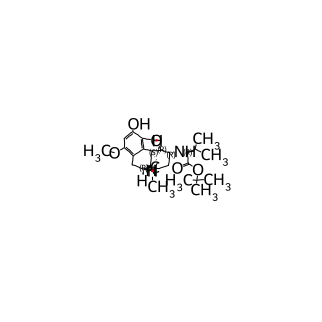 COc1cc(O)c2c3c1C[C@@H]1[C@@H]4CC[C@@H](N[C@@H](C(=O)OC(C)(C)C)C(C)C)[C@H](O2)[C@]34CCN1C